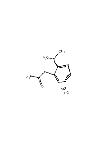 CN(C)c1ncccc1CC(N)=O.Cl.Cl